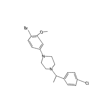 COc1cc(N2CCN(C(C)c3ccc(Cl)cc3)CC2)ccc1Br